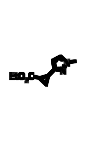 CCOC(=O)C1CC1c1ccn(C)n1